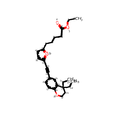 CCOC(=O)CCCCc1ccc(C#Cc2ccc3c(c2)C(CC)(CC)CCO3)o1